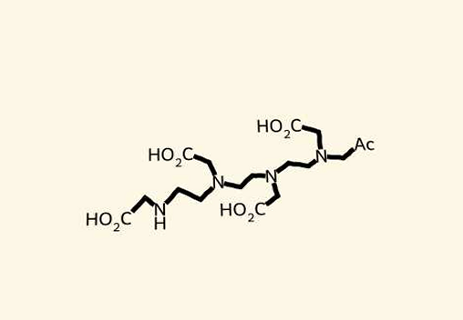 CC(=O)CN(CCN(CCN(CCNCC(=O)O)CC(=O)O)CC(=O)O)CC(=O)O